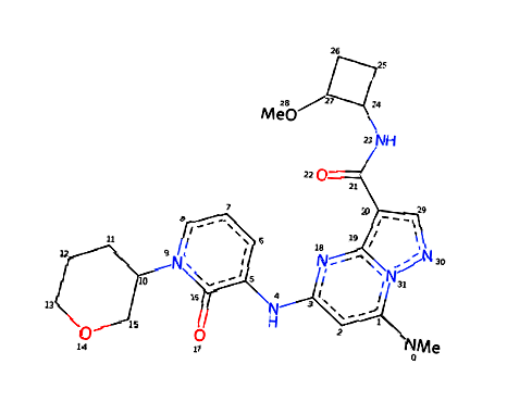 CNc1cc(Nc2cccn(C3CCCOC3)c2=O)nc2c(C(=O)NC3CCC3OC)cnn12